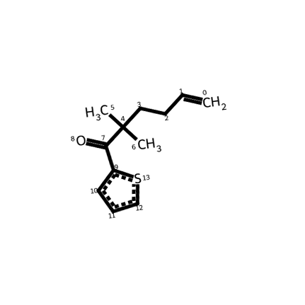 C=CCCC(C)(C)C(=O)c1cccs1